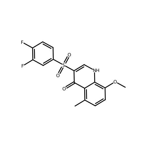 COc1ccc(C)c2c(=O)c(S(=O)(=O)c3ccc(F)c(F)c3)c[nH]c12